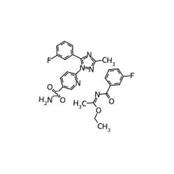 CCOC(C)=NC(=O)c1cccc(F)c1.Cc1nc(-c2cccc(F)c2)n(-c2ccc(S(N)(=O)=O)cn2)n1